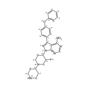 Nc1ncnc2c1c(-c1ccc(Oc3ccccc3)cc1)nn2C1CCN(C2CCNCC2)CC1F